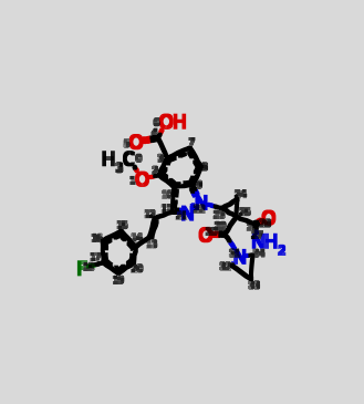 COc1c(C(=O)O)ccc2c1c(C=Cc1ccc(F)cc1)nn2C1CC1(C(N)=O)C(=O)N1CCC1